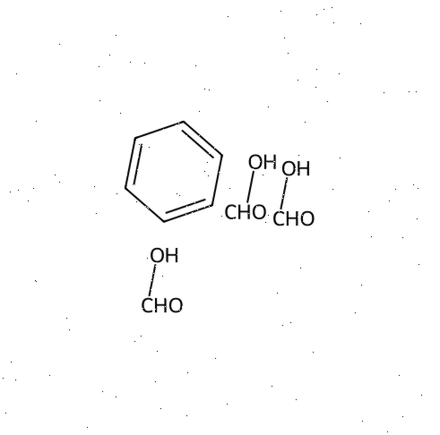 O=CO.O=CO.O=CO.c1ccccc1